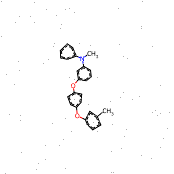 Cc1cccc(Oc2ccc(Oc3cccc(N(C)c4ccccc4)c3)cc2)c1